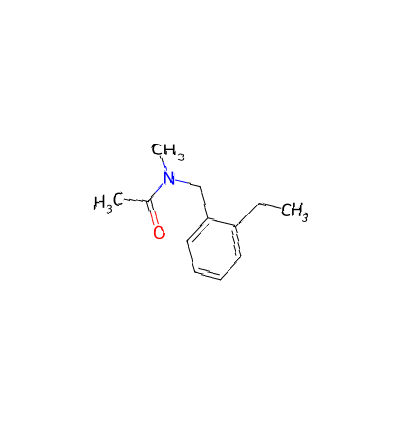 CCc1ccccc1CN(C)C(C)=O